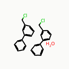 ClCc1cccc(-c2ccccc2)c1.ClCc1cccc(-c2ccccc2)c1.O